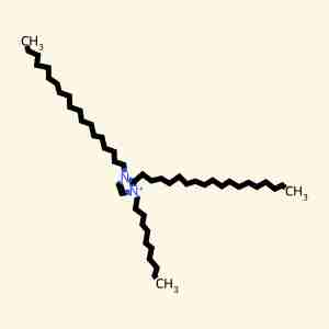 CCCCCCCCCCCCCCCCCCCn1cc[n+](CCCCCCCCCCC)c1CCCCCCCCCCCCCCCCCC